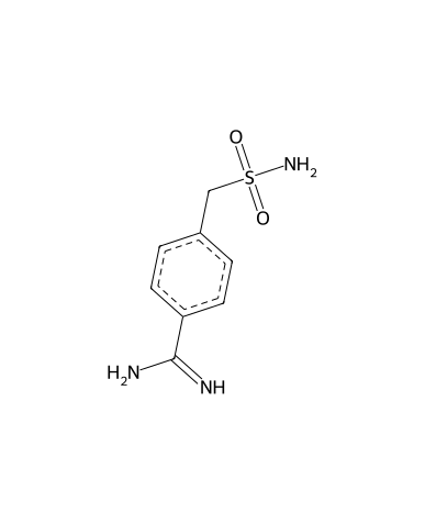 N=C(N)c1ccc(CS(N)(=O)=O)cc1